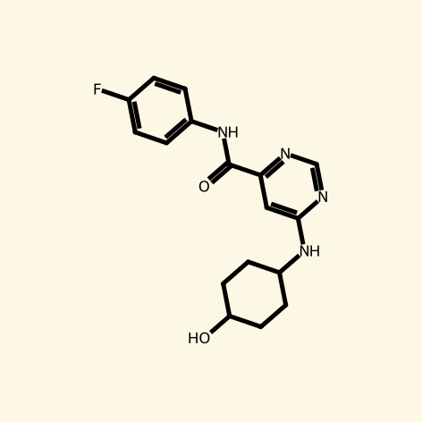 O=C(Nc1ccc(F)cc1)c1cc(NC2CCC(O)CC2)ncn1